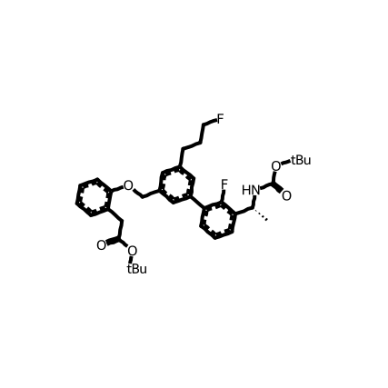 C[C@@H](NC(=O)OC(C)(C)C)c1cccc(-c2cc(CCCF)cc(COc3ccccc3CC(=O)OC(C)(C)C)c2)c1F